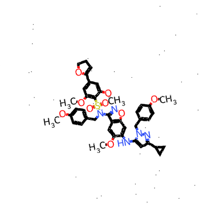 COc1ccc(CN(c2noc3cc(Nc4cc(C5CC5)nn4Cc4ccc(OC)cc4)c(OC)cc23)S(=O)(=O)c2c(OC)cc(C3=CCCO3)cc2OC)cc1